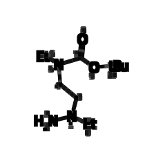 CCN(N)CCN(CC)C(=O)OC(C)(C)C